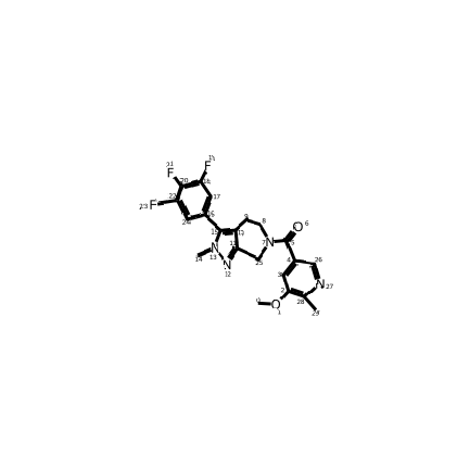 COc1cc(C(=O)N2CCc3c(nn(C)c3-c3cc(F)c(F)c(F)c3)C2)cnc1C